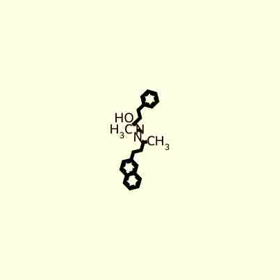 CC(CCc1ccc2ccccc2c1)N=NC(C)(O)CCc1ccccc1